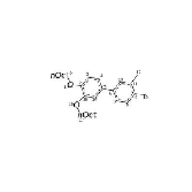 CCCCCCCCOc1ccc(-c2ccc(C)c(C)c2)cc1OCCCCCCCC